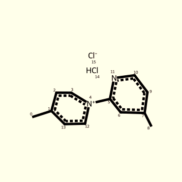 Cc1cc[n+](-c2cc(C)ccn2)cc1.Cl.[Cl-]